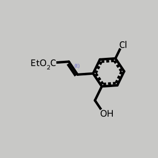 CCOC(=O)/C=C/c1cc(Cl)ccc1CO